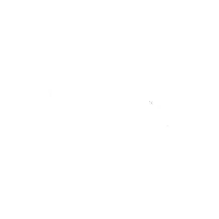 CCc1ccc(-c2ccc(C(N)CC)cc2)cc1